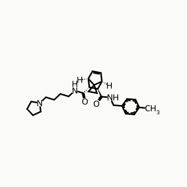 Cc1ccc(CNC(=O)[C@H]2[C@H](C(=O)NCCCCN3CCCC3)[C@H]3C=C[C@@H]2C32CC2)cc1